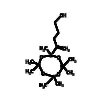 C=C(CCCO)[Si]1(C)O[Si](C)(C)O[Si](C)(C)O[Si](C)(C)O1